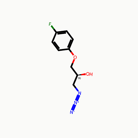 [N-]=[N+]=NC[C@H](O)COc1ccc(F)cc1